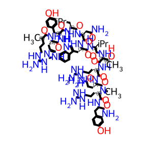 CC(C)C[C@H](NC(=O)[C@H](Cc1ccc(O)cc1)NC(=O)[C@H](Cc1c[nH]cn1)NC(=O)[C@@H](C)CCCNC(=N)N)C(=O)N[C@@H](CC(N)=O)C(=O)N[C@@H](Cc1c[nH]c2ccccc12)C(=O)N[C@H](C(=O)N[C@H](C(=O)N[C@@H](CCCNC(=N)N)C(=O)N[C@@H](CCC(N)=O)C(=O)N(C)[C@@H](CCCNC(=N)N)C(=O)NC(Cc1ccc(O)cc1)C(N)=O)[C@@H](C)O)C(C)C